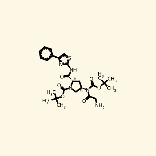 CC(C)(C)OC(=O)N1C[C@H](N(C(=O)CN)C(=O)OC(C)(C)C)C[C@H]1C(=O)Nc1nc(-c2ccccc2)cs1